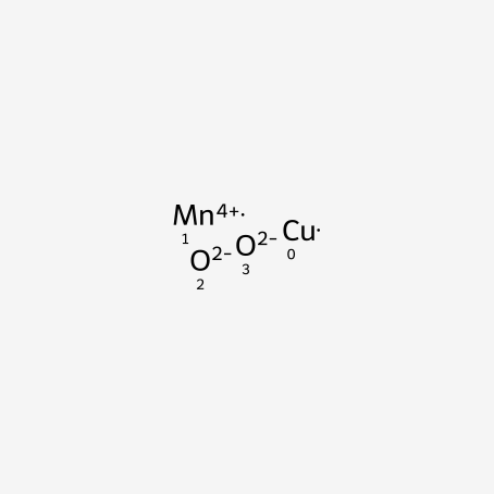 [Cu].[Mn+4].[O-2].[O-2]